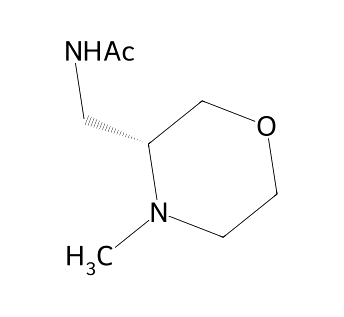 CC(=O)NC[C@@H]1COCCN1C